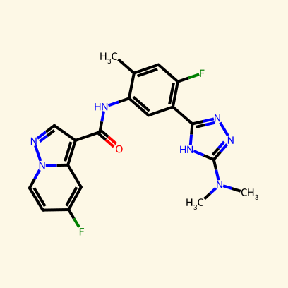 Cc1cc(F)c(-c2nnc(N(C)C)[nH]2)cc1NC(=O)c1cnn2ccc(F)cc12